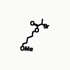 COCCCCCOC(=O)C(C)Br